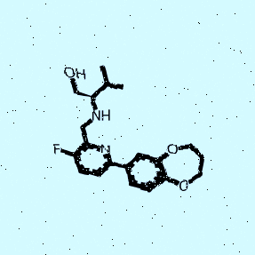 CC(C)[C@H](CO)NCc1nc(-c2ccc3c(c2)OCCCO3)ccc1F